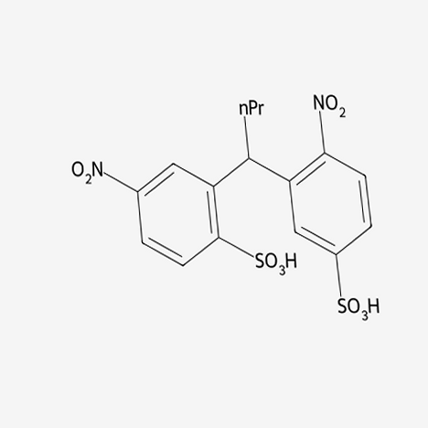 CCCC(c1cc(S(=O)(=O)O)ccc1[N+](=O)[O-])c1cc([N+](=O)[O-])ccc1S(=O)(=O)O